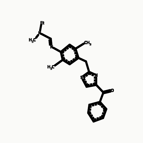 CCN(C)/C=N/c1cc(C)c(Cc2nc(C(=O)c3ccccc3)cs2)cc1C